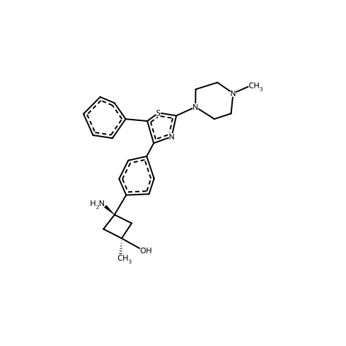 CN1CCN(c2nc(-c3ccc([C@]4(N)C[C@@](C)(O)C4)cc3)c(-c3ccccc3)s2)CC1